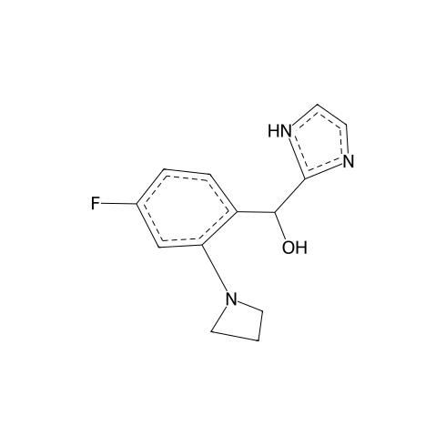 OC(c1ncc[nH]1)c1ccc(F)cc1N1CCC1